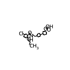 CCCCOc1ccc(Cl)cc1C(=O)NCCc1ccc(-c2cccc(OC(=O)O)c2)cc1